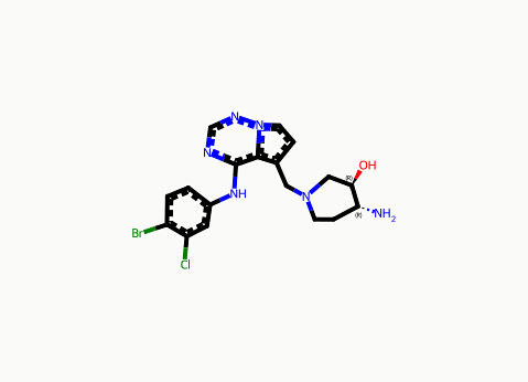 N[C@@H]1CCN(Cc2ccn3ncnc(Nc4ccc(Br)c(Cl)c4)c23)C[C@H]1O